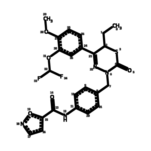 CCC1SC(=O)N(Cc2ccc(NC(=O)c3ccno3)cc2)N=C1c1ccc(OC)c(OC(F)F)c1